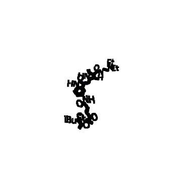 CCC(C)C(=O)C(C)OC(C)(CC)C(=O)CCC(=O)Nc1ccc2c(c1)/C(=C/c1[nH]c(C)c(C(=O)NCCN(CC)CC)c1C)C(=O)N2